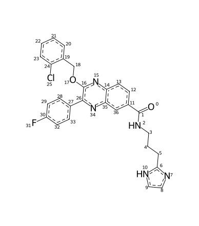 O=C(NCCCc1ncc[nH]1)c1ccc2nc(OCc3ccccc3Cl)c(-c3ccc(F)cc3)nc2c1